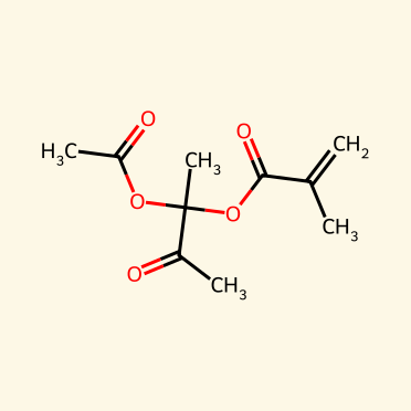 C=C(C)C(=O)OC(C)(OC(C)=O)C(C)=O